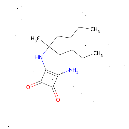 CCCCC(C)(CCCC)Nc1c(N)c(=O)c1=O